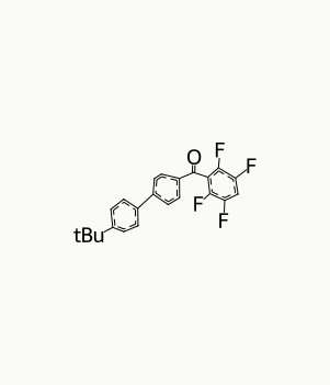 CC(C)(C)c1ccc(-c2ccc(C(=O)c3c(F)c(F)cc(F)c3F)cc2)cc1